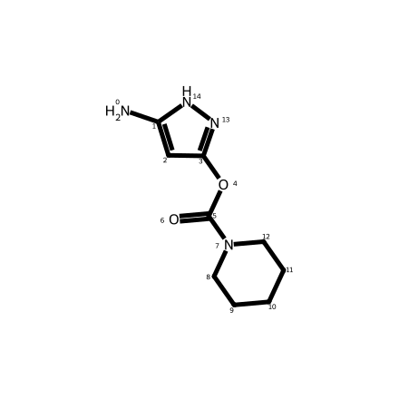 Nc1cc(OC(=O)N2CCCCC2)n[nH]1